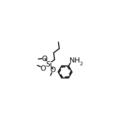 CCCC[Si](OC)(OC)OC.Nc1ccccc1